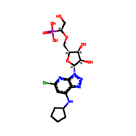 O=P(O)(O)[C@@H](CO)OC[C@H]1O[C@@H](n2nnc3c(NC4CCCC4)cc(Cl)nc32)[C@H](O)[C@@H]1O